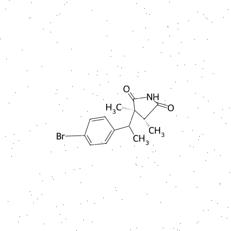 CC(c1ccc(Br)cc1)[C@@]1(C)C(=O)NC(=O)[C@@H]1C